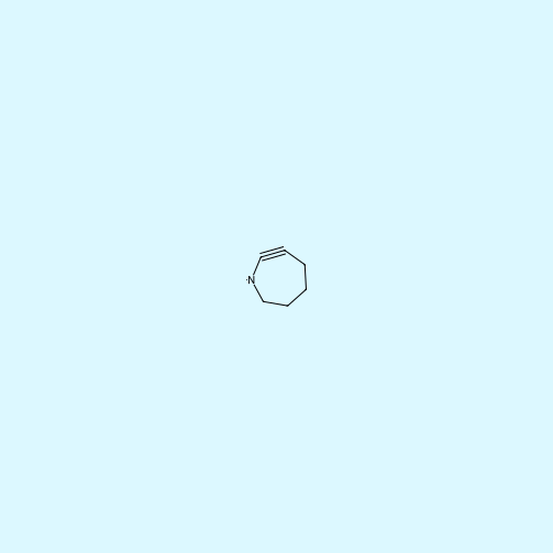 C1#C[N]CCCC1